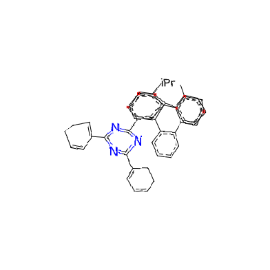 Cc1ccccc1-c1c(-c2ccccc2-c2ccccc2-c2cccc(-c3nc(C4=CCCC=C4)nc(C4=CC=CCC4)n3)c2)cccc1C(C)C